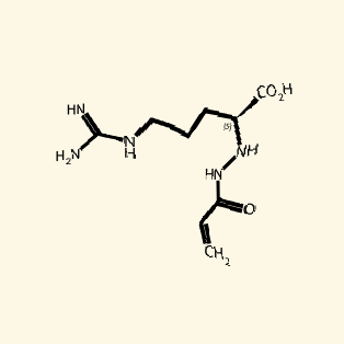 C=CC(=O)NN[C@@H](CCCNC(=N)N)C(=O)O